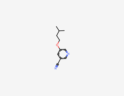 CC(C)CCOc1cncc(C#N)c1